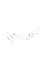 O=C(O)Oc1cn(C2CC2)c2nc(N3CCC(O)(COc4ccc(N5C[C@H](CO)OC5=O)cc4F)CC3)c(F)cc2c1=O